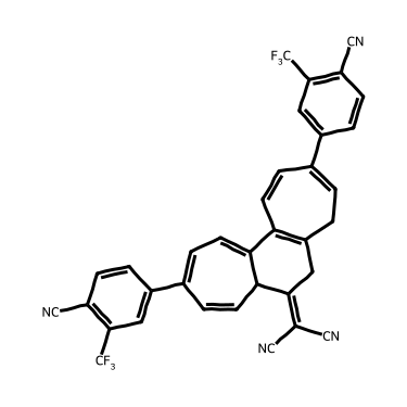 N#CC(C#N)=C1CC2=C(C=CC(c3ccc(C#N)c(C(F)(F)F)c3)=CC2)C2=CC=C(c3ccc(C#N)c(C(F)(F)F)c3)C=CC21